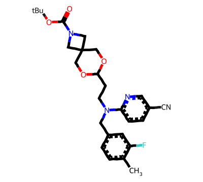 Cc1ccc(CN(CCC2OCC3(CO2)CN(C(=O)OC(C)(C)C)C3)c2ccc(C#N)cn2)cc1F